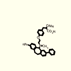 CCCc1ccc2c(c1)CCc1ccc(-c3ccccc3)cc1C2N(C)CCOc1ccc(CC(OC)C(=O)O)cc1